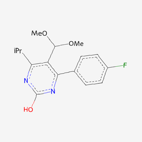 COC(OC)c1c(-c2ccc(F)cc2)nc(O)nc1C(C)C